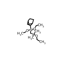 CCO[Si](C)(C)C[Si](OCC)(OCC)C1CC2CCC1C2